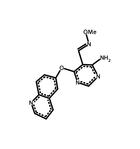 CON=Cc1c(N)ncnc1Oc1ccc2ncccc2c1